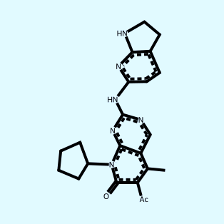 CC(=O)c1c(C)c2cnc(Nc3ccc4c(n3)NCC4)nc2n(C2CCCC2)c1=O